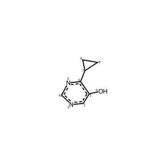 Oc1cn[c]nc1C1CC1